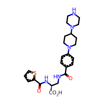 O=C(NC[C@H](NC(=O)c1cccs1)C(=O)O)c1ccc(N2CCC(N3CCNCC3)CC2)cc1